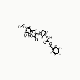 CCCn1cnc(C[C@@H](C(=O)OC)N2CC[C@H](NC(=O)OCc3ccccc3)C2)c1